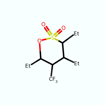 CCC1OS(=O)(=O)C(CC)C(CC)C1C(F)(F)F